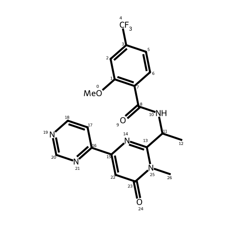 COc1cc(C(F)(F)F)ccc1C(=O)NC(C)c1nc(-c2ccncn2)cc(=O)n1C